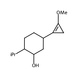 COC1=C(C2CCC(C(C)C)C(O)C2)C1